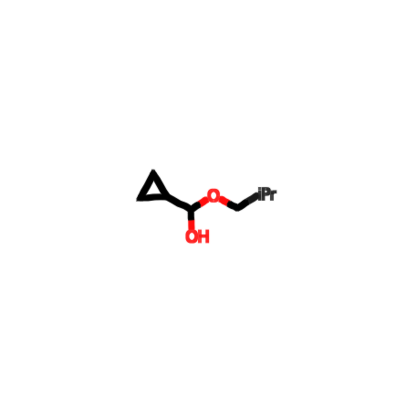 CC(C)COC(O)C1CC1